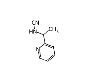 CC(NC#N)c1ccccn1